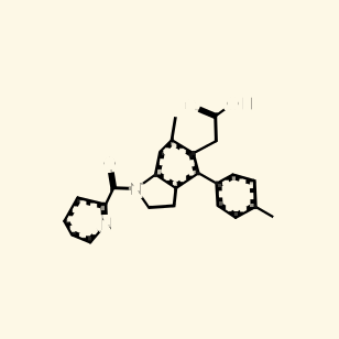 Cc1ccc(-c2c(CC(=O)O)c(C)cc3c2CCN3C(=O)c2ccccn2)cc1